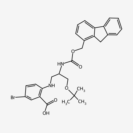 CC(C)(C)OCC(CNc1ccc(Br)cc1C(=O)O)NC(=O)OCc1cccc2c1Cc1ccccc1-2